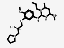 CCCN1C(C)CC(NC)NC1Nc1ccc(OC)c(OC[C@H](O)CN2CCCC2)c1